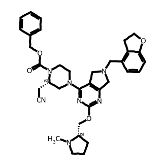 CN1CCC[C@H]1COc1nc2c(c(N3CCN(C(=O)OCc4ccccc4)[C@@H](CC#N)C3)n1)CN(Cc1cccc3c1CCO3)C2